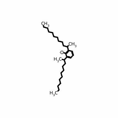 CCCCCCCCCCC(C)c1cccc(C(C)CCCCCCCCCC)c1[O]